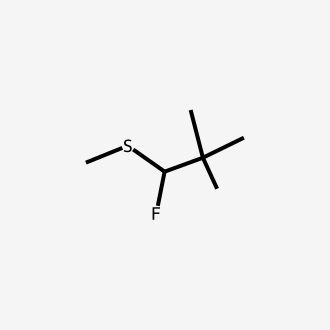 CSC(F)C(C)(C)C